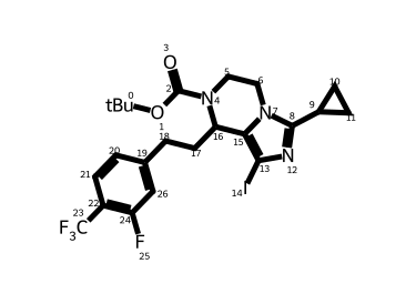 CC(C)(C)OC(=O)N1CCn2c(C3CC3)nc(I)c2C1CCc1ccc(C(F)(F)F)c(F)c1